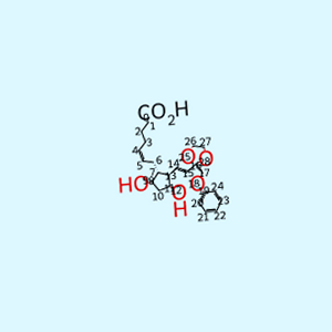 O=C(O)CCC/C=C\C[C@H]1C(O)C[C@@H](O)[C@@H]1/C=C/C1(COc2ccccc2)OCCO1